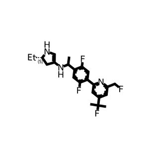 CC[C@H]1CC(NC(C)c2cc(F)c(-c3cc(C(C)(C)F)cc(CF)n3)cc2F)=CN1